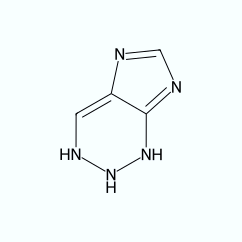 C1=NC2=CNNNC2=N1